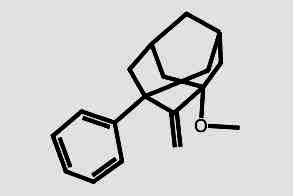 C=C1C2(OC)CC3CC(C2)CC1(c1ccccc1)C3